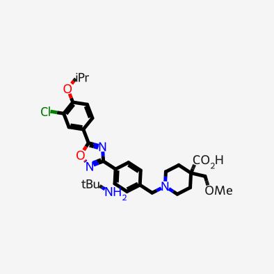 CC(C)(C)N.COCC1(C(=O)O)CCN(Cc2ccc(-c3noc(-c4ccc(OC(C)C)c(Cl)c4)n3)cc2)CC1